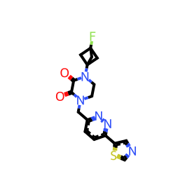 O=C1C(=O)N(C23CC(F)(C2)C3)CCN1Cc1ccc(-c2cncs2)nn1